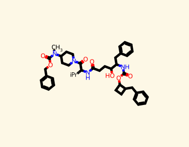 CC(C)C(NC(=O)CCC(O)C(Cc1ccccc1)NC(=O)OC1CCC1Cc1ccccc1)C(=O)N1CCC(N(C)C(=O)OCc2ccccc2)CC1